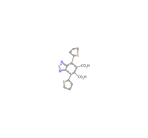 O=C(O)c1c(C(=O)O)c(-c2cccs2)c2nsnc2c1-c1cccs1